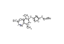 CCN(C)/C=N\c1cc(C)c(Cc2nc(COC(C)(C)C)cs2)cc1C